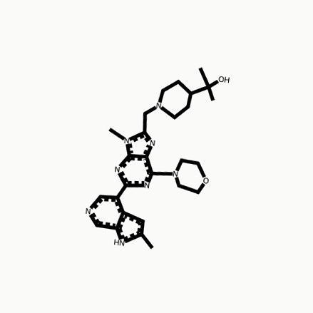 Cc1cc2c(-c3nc(N4CCOCC4)c4nc(CN5CCC(C(C)(C)O)CC5)n(C)c4n3)cncc2[nH]1